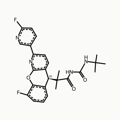 CC(C)(C)NC(=O)NC(=O)C(C)(C)[C@@H]1c2ccc(-c3ccc(F)nc3)nc2Oc2c(F)cccc21